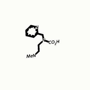 CNCCN(Cc1ccccn1)C(=O)O